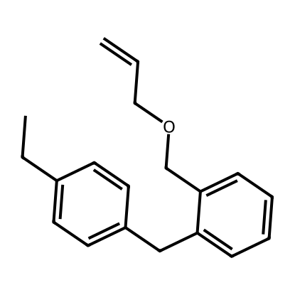 C=CCOCc1ccccc1Cc1ccc(CC)cc1